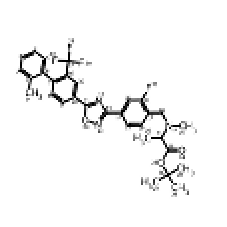 Cc1ccccc1-c1ccc(-c2nc(-c3ccc(CN(C)C(C)C(=O)OC(C)(C)C)c(F)c3)no2)cc1C(F)(F)F